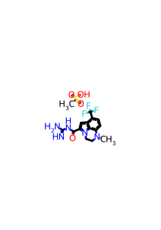 CN1CCn2c(C(=O)NC(=N)N)cc3c(C(F)(F)F)ccc1c32.CS(=O)(=O)O